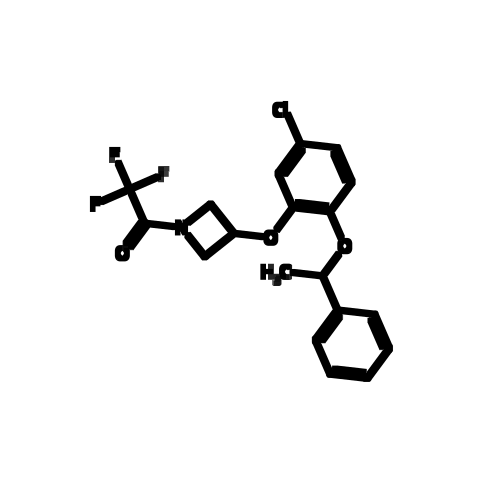 CC(Oc1ccc(Cl)cc1OC1CN(C(=O)C(F)(F)F)C1)c1ccccc1